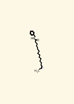 CC/C=C\CCCCCCCCCCCCCC(=O)NCc1ccccc1